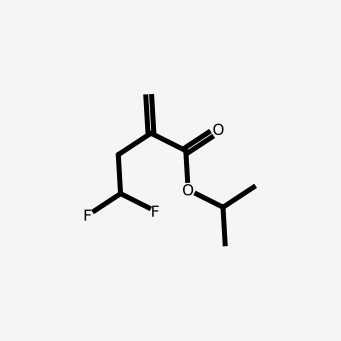 C=C(CC(F)F)C(=O)OC(C)C